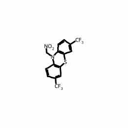 O=[N+]([O-])CN1c2ccc(C(F)(F)F)cc2Sc2cc(C(F)(F)F)ccc21